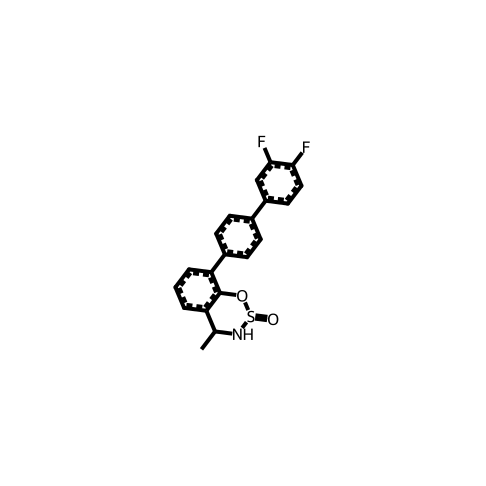 CC1NS(=O)Oc2c(-c3ccc(-c4ccc(F)c(F)c4)cc3)cccc21